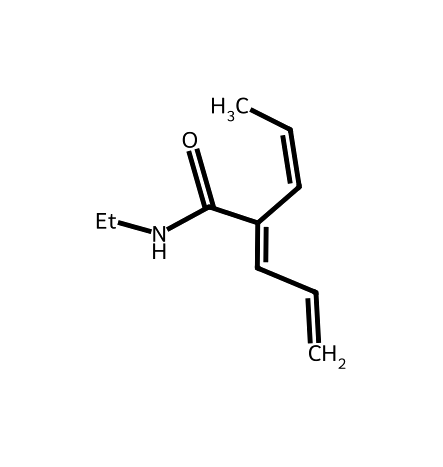 C=C/C=C(\C=C/C)C(=O)NCC